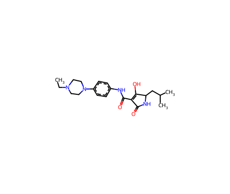 CCN1CCN(c2ccc(NC(=O)C3=C(O)C(CC(C)C)NC3=O)cc2)CC1